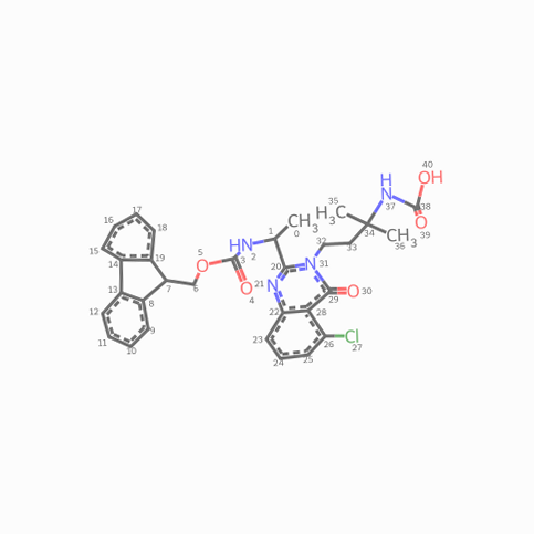 CC(NC(=O)OCC1c2ccccc2-c2ccccc21)c1nc2cccc(Cl)c2c(=O)n1CCC(C)(C)NC(=O)O